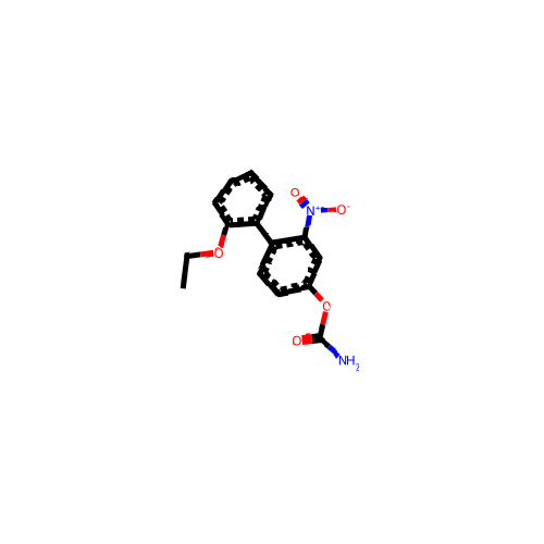 CCOc1ccccc1-c1ccc(OC(N)=O)cc1[N+](=O)[O-]